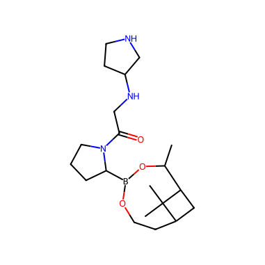 CC1OB(C2CCCN2C(=O)CNC2CCNC2)OCCC2CC1C2(C)C